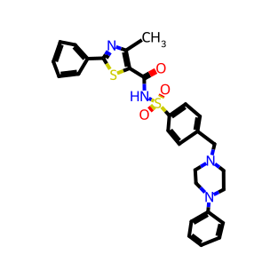 Cc1nc(-c2ccccc2)sc1C(=O)NS(=O)(=O)c1ccc(CN2CCN(c3ccccc3)CC2)cc1